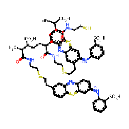 CCCC(C(=O)O)C(CC(C(=O)O)C(CCC(C(=O)O)C(C)C(=O)NCCSCCc1ccc2sc3c/c(=N\c4ccccc4S(=O)(=O)O)ccc-3nc2c1)C(=O)NCCSCCc1cc2nc3ccccc3sc-2c/c1=N\c1cccc(S(=O)(=O)O)c1)C(=O)NCCS